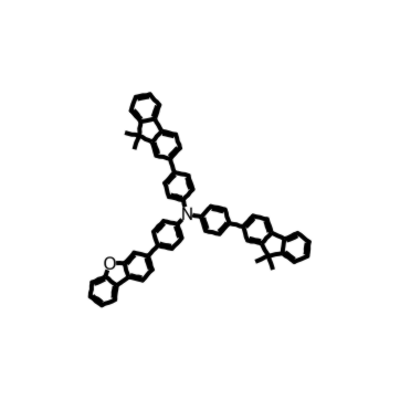 CC1(C)c2ccccc2-c2ccc(-c3ccc(N(c4ccc(-c5ccc6c(c5)C(C)(C)c5ccccc5-6)cc4)c4ccc(-c5ccc6c(c5)oc5ccccc56)cc4)cc3)cc21